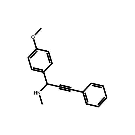 CNC(C#Cc1ccccc1)c1ccc(OC)cc1